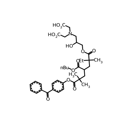 CCCCOC(=O)C(CC(C)(C)C(=O)Oc1ccc(C(=O)c2ccccc2)cc1)CC(C)(CC)C(=O)OCC(O)CN(CC(=O)O)CC(=O)O